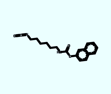 O=C=NCCCCCCNC(=O)Oc1ccc2ccccc2c1